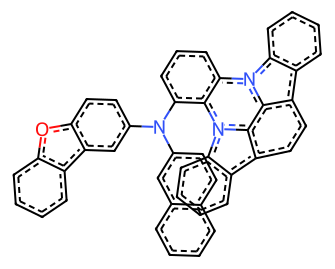 c1ccc2cc(N(c3ccc4oc5ccccc5c4c3)c3cccc4c3n3c5ccccc5c5ccc6c7ccccc7n4c6c53)ccc2c1